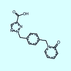 O=C(O)c1cnn(Cc2ccc(Cn3ccccc3=O)cc2)n1